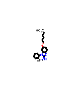 CCCNc1nc2ccc(OCCCCCC(=O)O)cc2n1-c1ccccc1